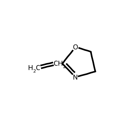 C1=NCCO1.C=C